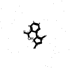 CC1=CC(C)=C(c2ccccc2C(C)O)C1